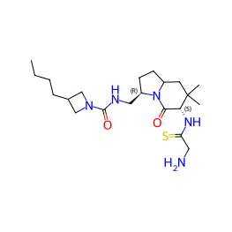 CCCCC1CN(C(=O)NC[C@H]2CCC3CC(C)(C)[C@H](NC(=S)CN)C(=O)N32)C1